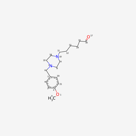 COc1ccc(CN2CCN(CCCCC[C]=O)CC2)cc1